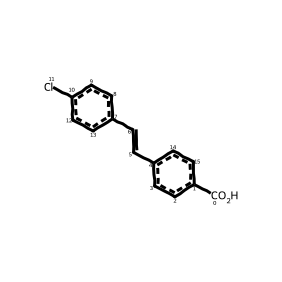 O=C(O)c1ccc(C=Cc2ccc(Cl)cc2)cc1